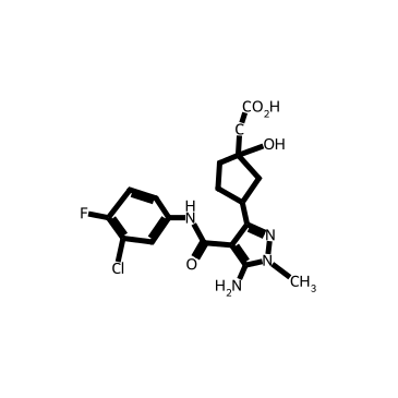 Cn1nc(C2CCC(O)(CC(=O)O)C2)c(C(=O)Nc2ccc(F)c(Cl)c2)c1N